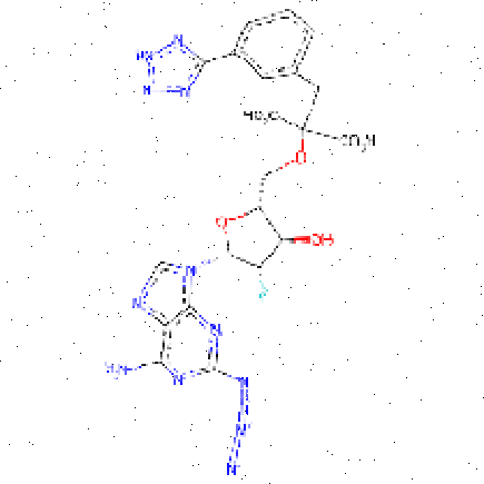 [N-]=[N+]=Nc1nc(N)c2ncn([C@@H]3O[C@H](COC(Cc4cccc(-c5nn[nH]n5)c4)(C(=O)O)C(=O)O)[C@@H](O)[C@@H]3F)c2n1